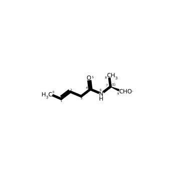 CC=CCC(=O)N[C@@H](C)[C]=O